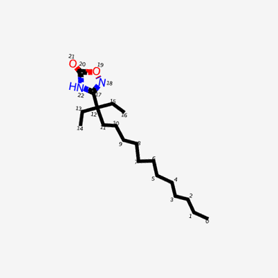 CCCCCCCCCCCCC(CC)(CC)c1noc(=O)[nH]1